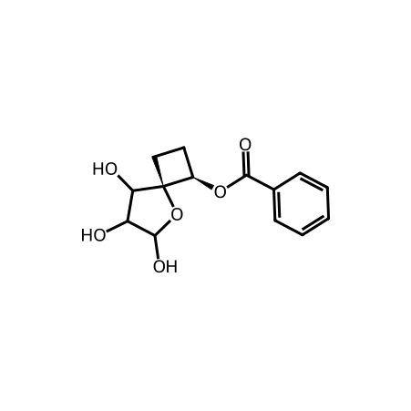 O=C(O[C@@H]1CC[C@]12OC(O)C(O)C2O)c1ccccc1